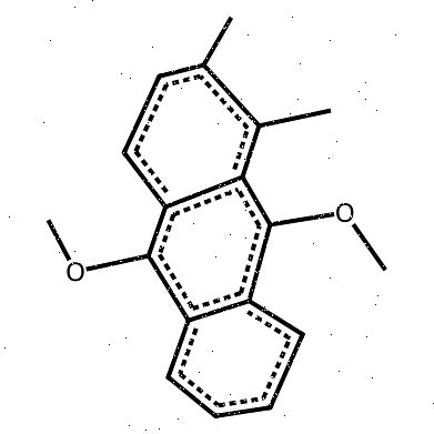 COc1c2ccccc2c(OC)c2c(C)c(C)ccc12